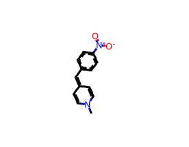 CN1C=CC(=Cc2ccc([N+](=O)[O-])cc2)C=C1